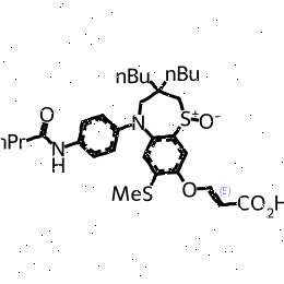 CCCCC1(CCCC)CN(c2ccc(NC(=O)CCC)cc2)c2cc(SC)c(O/C=C/C(=O)O)cc2[S+]([O-])C1